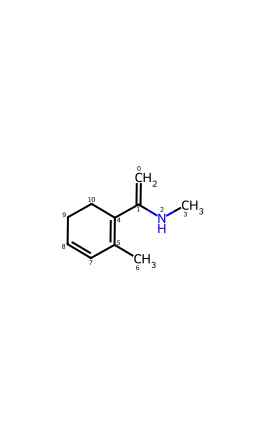 C=C(NC)C1=C(C)C=CCC1